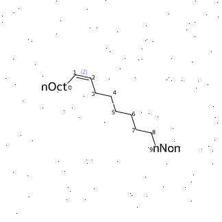 CCCCCCCC/C=C\CCCCCCCCCCCCCCC